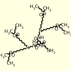 CCCCCC(CC)OC(=O)CCCCCCCCN(CCCCCCCCC(=O)OC(CC)CCCCC)CCCNC(=O)c1cc(C(=O)NCCCN)cc(C(=O)NCCCN(CCCCCCCCC(=O)OC(CC)CCCCC)CCCCCCCCC(=O)OC(CC)CCCCC)c1